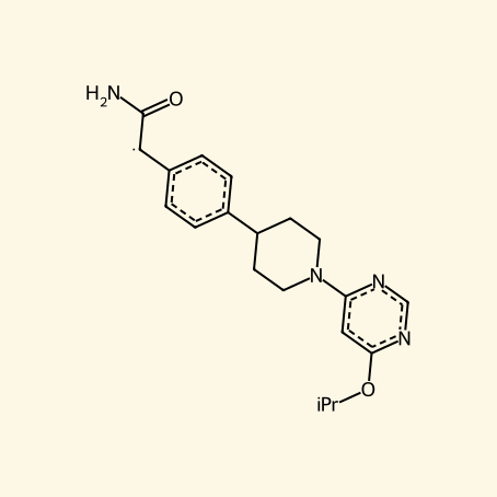 CC(C)Oc1cc(N2CCC(c3ccc([CH]C(N)=O)cc3)CC2)ncn1